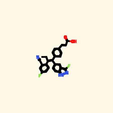 CCC(=C(c1ccc(C=CC(=O)O)cc1)c1ccc2[nH]nc(F)c2c1)c1ccc(F)cc1C#N